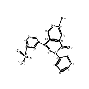 CS(=O)(=O)c1cccc(-c2nn(-c3ccccc3)c(=O)c3cc(F)ccc23)c1